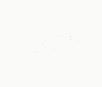 COC(=O)Nc1n[nH]c2cc(NC(=O)NCc3c(F)cccc3OC)ncc12